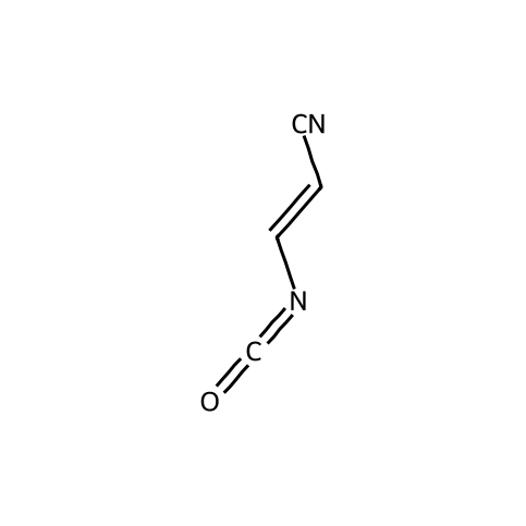 N#CC=CN=C=O